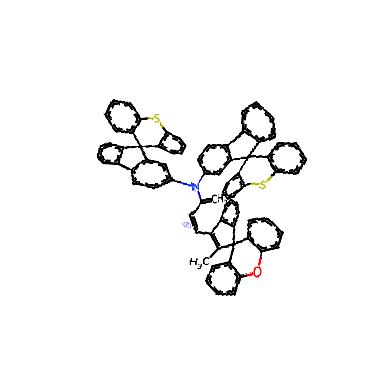 C=C(/C=C\C1=C(C)C2(c3ccccc3Oc3ccccc32)c2ccccc21)N(c1ccc2c(c1)C1(c3ccccc3Sc3ccccc31)c1ccccc1-2)c1ccc2c(c1)C1(c3ccccc3Sc3ccccc31)c1ccccc1-2